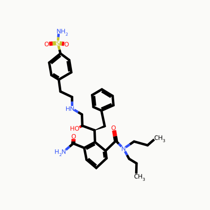 CCCN(CCC)C(=O)c1cccc(C(N)=O)c1[C@H](Cc1ccccc1)C(O)CNCCc1ccc(S(N)(=O)=O)cc1